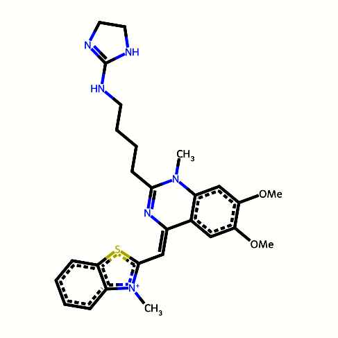 COc1cc2c(cc1OC)N(C)C(CCCCNC1=NCCN1)=NC2=Cc1sc2ccccc2[n+]1C